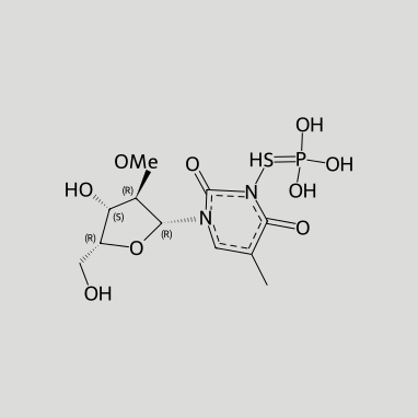 CO[C@@H]1[C@@H](O)[C@@H](CO)O[C@H]1n1cc(C)c(=O)n([SH]=P(O)(O)O)c1=O